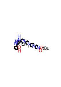 CC1c2c([nH]c3nnc(-c4ccccc4O)cc23)CCN1C1CCN(C2CCN(C3CCN(C(=O)OC(C)(C)C)CC3)CC2)CC1